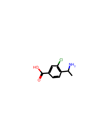 CC(N)c1ccc(C(=O)O)cc1Cl